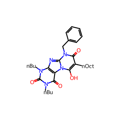 CCCCCCCCc1c(O)n2c3c(=O)n(CCCC)c(=O)n(CCCC)c3nc2n(Cc2ccccc2)c1=O